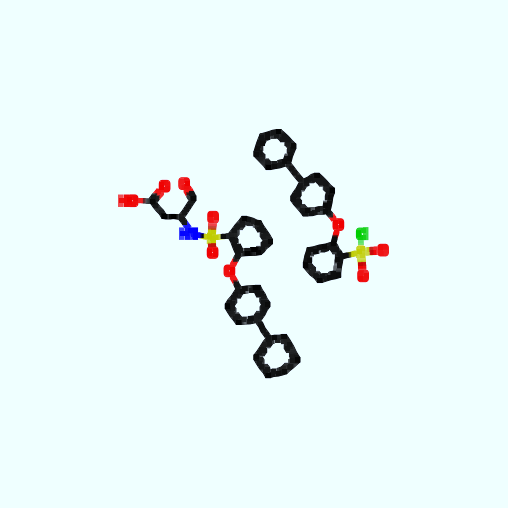 O=CC(CC(=O)O)NS(=O)(=O)c1ccccc1Oc1ccc(-c2ccccc2)cc1.O=S(=O)(Cl)c1ccccc1Oc1ccc(-c2ccccc2)cc1